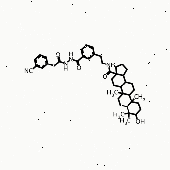 CC1(C)C(O)CCC2(C)C1CCC1(C)C3CCC4(C(=O)NCCc5cccc(C(=O)NNC(=O)Cc6cccc(C#N)c6)c5)CCCC4C3CCC12